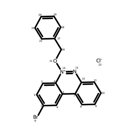 Brc1ccc2c(c1)c1ccccc1n[n+]2OCc1ccccc1.[Cl-]